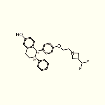 Oc1ccc2c(c1)CC[C@H](c1ccccc1)[C@@H]2c1ccc(OCCN2CC(C(F)F)C2)cc1